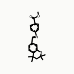 COC(=O)c1ccc(N=Cc2ccc3c(c2)SC(C)(C)CC3(C)C)cc1